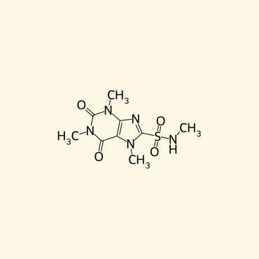 CNS(=O)(=O)c1nc2c(c(=O)n(C)c(=O)n2C)n1C